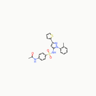 CC(=O)Nc1ccc(S(=O)(=O)Nc2cc(-c3cccs3)nn2-c2ccccc2C)cc1